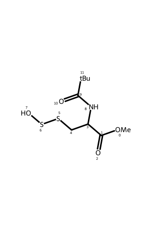 COC(=O)C(CSSO)NC(=O)C(C)(C)C